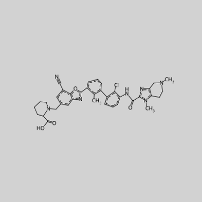 Cc1c(-c2nc3cc(CN4CCCCC4C(=O)O)cc(C#N)c3o2)cccc1-c1cccc(NC(=O)c2nc3c(n2C)CCN(C)C3)c1Cl